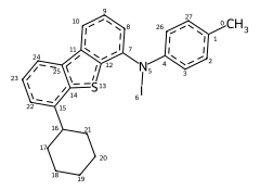 Cc1ccc(N(I)c2cccc3c2sc2c(C4CCCCC4)cccc23)cc1